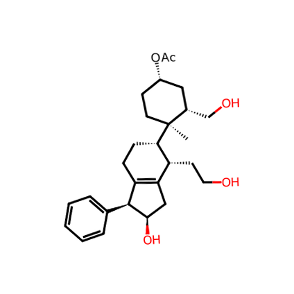 CC(=O)O[C@H]1CC[C@](C)([C@H]2CCC3=C(C[C@@H](O)[C@H]3c3ccccc3)[C@H]2CCO)[C@@H](CO)C1